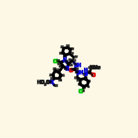 CNC(=O)Nc1ccc(Cl)cc1CNC(=O)N[C@@H](Cc1ccccc1)c1nc(-c2ccc(N(C)C(=O)O)cc2)c(Cl)[nH]1